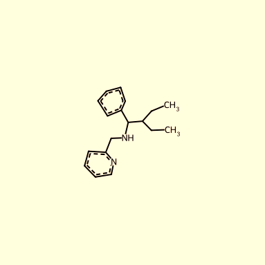 CCC(CC)C(NCc1ccccn1)c1ccccc1